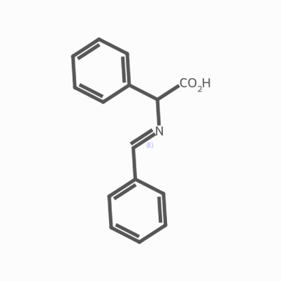 O=C(O)C(/N=C/c1ccccc1)c1ccccc1